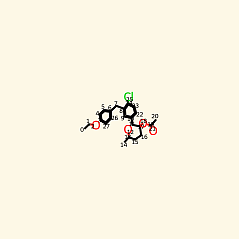 CCOc1ccc(Cc2cc(C3OC(C)CCC3OC(C)=O)ccc2Cl)cc1